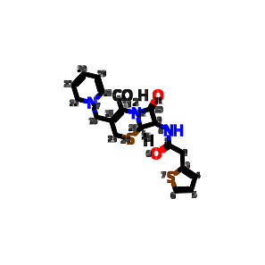 O=C(Cc1cccs1)NC1C(=O)N2C(C(=O)O)=C(CN3C=CC=CC3)CS[C@H]12